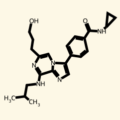 CC(C)CNc1nc(CCCO)cn2c(-c3ccc(C(=O)NC4CC4)cc3)cnc12